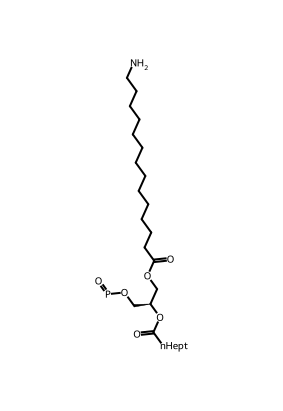 CCCCCCCC(=O)O[C@@H](COP=O)COC(=O)CCCCCCCCCCCCCN